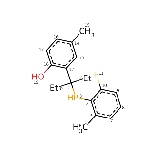 CCC(CC)(Pc1c(C)cccc1F)c1cc(C)ccc1O